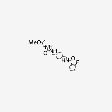 COC(C)CNC(=O)NCC1CCC(CNC(=O)c2ccccc2F)CC1